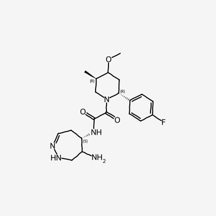 COC1C[C@H](c2ccc(F)cc2)N(C(=O)C(=O)N[C@H]2CC=NNCC2N)C[C@H]1C